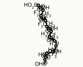 CC(c1ccc2c(c1)C(=O)N(c1cc(C(C)(c3ccc(O)c(NC(=O)c4ccc(Oc5ccc(C(=O)Nc6cc(C(C)(c7ccc(O)c(N8C(=O)c9ccc(OC=O)cc9C8=O)c7)C(F)(F)F)ccc6O)cc5)cc4)c3)C(F)(F)F)ccc1O)C2=O)(c1ccc2c(c1)C(=O)N(c1cc(C(C)(c3ccc(O)c(N4C(=O)c5ccc(C(=O)O)cc5C4=O)c3)C(F)(F)F)ccc1O)C2=O)C(F)(F)F